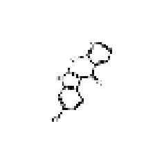 O=C(c1cccnc1Cl)c1n[nH]c2cc(Cl)ccc12